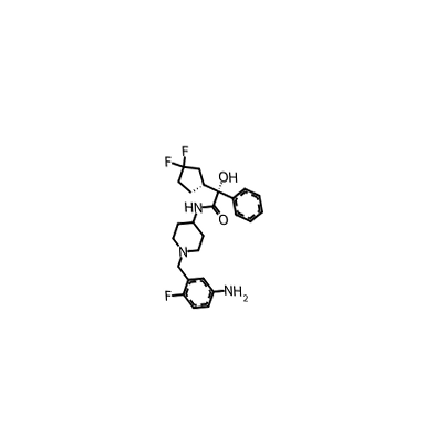 Nc1ccc(F)c(CN2CCC(NC(=O)[C@](O)(c3ccccc3)[C@@H]3CCC(F)(F)C3)CC2)c1